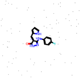 O=C1NN=C(Nc2ccc(F)cc2)/C1=C\c1ccc[nH]1